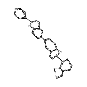 c1ccc2c(-c3ccc4cc(-c5ccc6nc(-c7ccncc7)ccc6c5)ccc4n3)cccc2c1